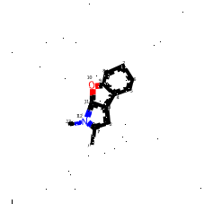 Cc1cc2c3ccccc3oc2n1C